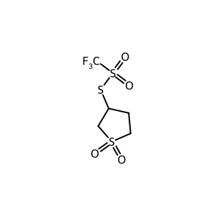 O=S1(=O)CCC(SS(=O)(=O)C(F)(F)F)C1